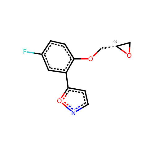 Fc1ccc(OC[C@@H]2CO2)c(-c2ccno2)c1